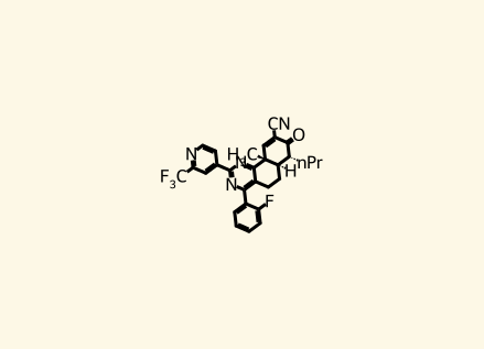 CCC[C@H]1C(=O)C(C#N)=C[C@@]2(C)c3nc(-c4ccnc(C(F)(F)F)c4)nc(-c4ccccc4F)c3CC[C@H]12